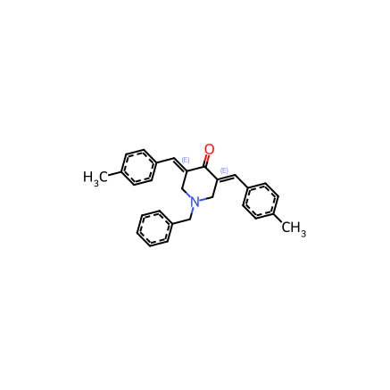 Cc1ccc(/C=C2\CN(Cc3ccccc3)C/C(=C\c3ccc(C)cc3)C2=O)cc1